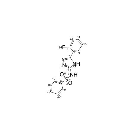 O=S(=O)(Nc1ncc(-c2ccccc2F)[nH]1)c1ccccc1